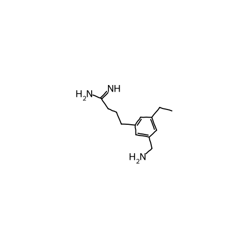 CCc1cc(CN)cc(CCCC(=N)N)c1